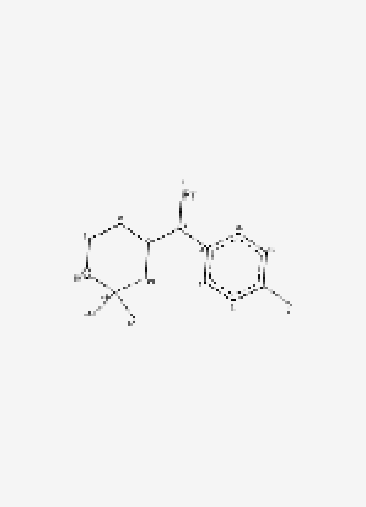 Cc1ccc(C(C(C)C)C2CCOC(C)(C)C2)cc1